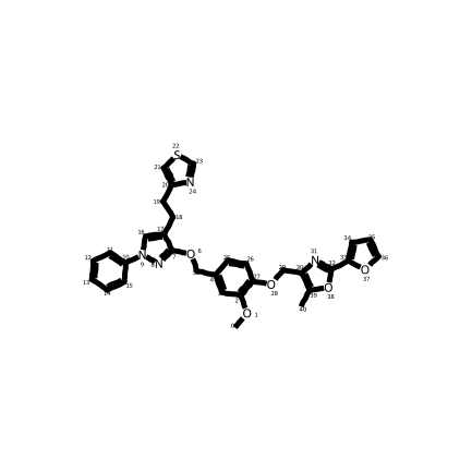 COc1cc(COc2nn(-c3ccccc3)cc2CCc2cscn2)ccc1OCc1nc(-c2ccco2)oc1C